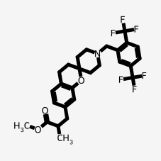 COC(=O)C(C)Cc1ccc2c(c1)OC1(CC2)CCN(Cc2cc(C(F)(F)F)ccc2C(F)(F)F)CC1